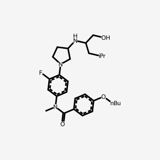 CCCCOc1ccc(C(=O)N(C)c2ccc(N3CCC(NC(CO)CC(C)C)C3)c(F)c2)cc1